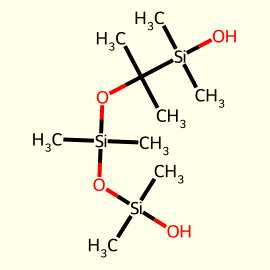 CC(C)(O[Si](C)(C)O[Si](C)(C)O)[Si](C)(C)O